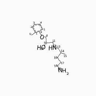 Cc1ccccc1OCC(O)CNCC(C)CCCN